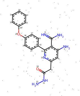 N=C(N)c1c(N)cc(CC(=O)NN)nc1-c1ccc(Oc2ccccc2)cc1